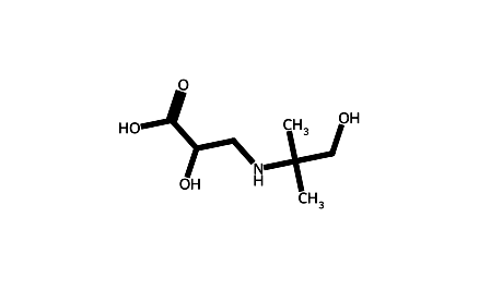 CC(C)(CO)NCC(O)C(=O)O